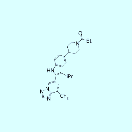 CCC(=O)N1CCC(c2ccc3[nH]c(-c4cc(C(F)(F)F)c5ncnn5c4)c(C(C)C)c3c2)CC1